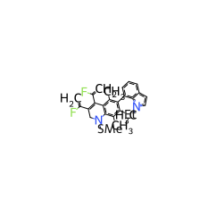 C=C(F)C1=C(C(=C)F)c2c(C)c(-c3cccc4ccn(C)c34)c(CC)c(C)c2N(SC)C1